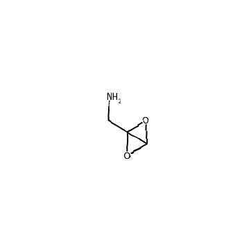 NCC12OC1O2